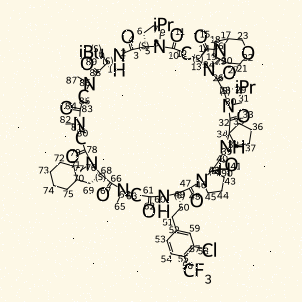 CC[C@H](C)[C@@H]1NC(=O)[C@H](CC(C)C)N(C)C(=O)C[C@@H](C(=O)N2C3CCC2COC3)N(C)C(=O)[C@H](C(C)C)N(C)C(=O)C2(CCCC2)NC(=O)[C@@H]2CCCN2C(=O)[C@H](CCc2ccc(C(F)(F)F)c(Cl)c2)NC(=O)CN(C)C(=O)[C@H](CC2CCCCC2)N(C)C(=O)CN(C)C(=O)CN(C)C1=O